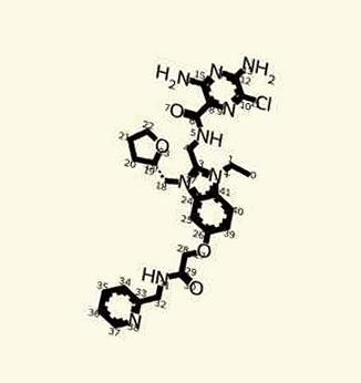 CC[n+]1c(CNC(=O)c2nc(Cl)c(N)nc2N)n(C[C@@H]2CCCO2)c2cc(OCC(=O)NCc3ccccn3)ccc21